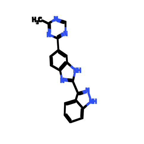 Cc1ncnc(-c2ccc3nc(-c4n[nH]c5ccccc45)[nH]c3c2)n1